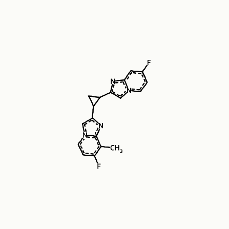 Cc1c(F)ccn2cc(C3CC3c3cn4ccc(F)cc4n3)nc12